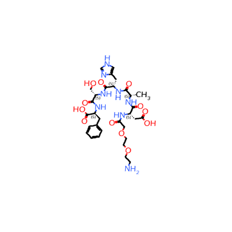 C[C@H](NC(=O)[C@H](CC(=O)O)NC(=O)COCCOCCN)C(=O)N[C@@H](Cc1c[nH]cn1)C(=O)N[C@@H](CO)C(=O)N[C@@H](Cc1ccccc1)C(=O)O